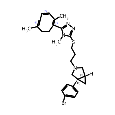 C\C1=C/C=C\C(C)=C(\c2nnc(SCCCN3C[C@@H]4C[C@]4(c4ccc(Br)cc4)C3)n2C)CC1